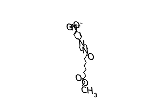 CCOC(=O)CCCCCCC(=O)N1CCN(c2ccc([N+](=O)[O-])cc2)CC1